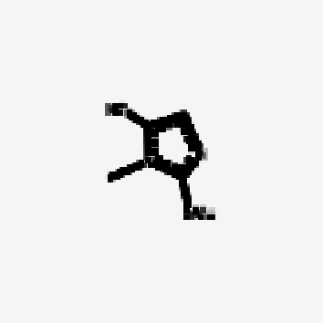 CSc1ncc(C#N)n1C